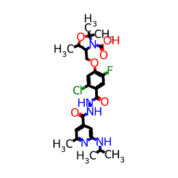 Cc1cc(C(=O)NNC(=O)c2cc(F)c(OCC3C(C)OC(C)(C)N3C(=O)O)cc2Cl)cc(NC(C)C)n1